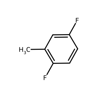 Cc1cc(F)ccc1F